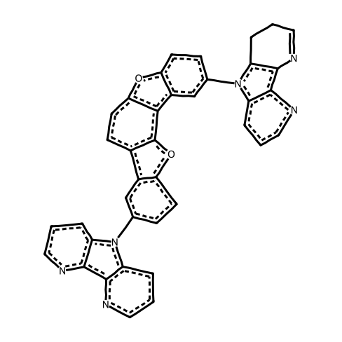 C1=Nc2c(n(-c3ccc4oc5ccc6c7cc(-n8c9cccnc9c9ncccc98)ccc7oc6c5c4c3)c3cccnc23)CC1